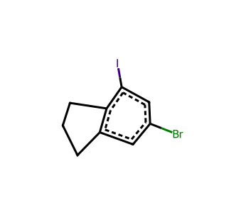 Brc1cc(I)c2c(c1)CCC2